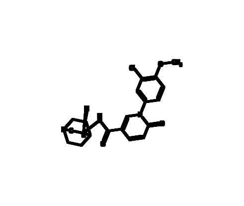 COc1ccc(-n2cc(C(=O)N[C@H]3CN4CCC3CC4)ccc2=O)cc1Cl